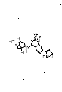 Nc1nc(N[C@H]2C[C@@H]3C[C@H]2C[C@H]3O)c2ccc(-c3ccn[nH]3)cc2n1